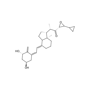 C=C1/C(=C\C=C2/CCC[C@@]3(C)C2CC[C@@H]3[C@H](C)C(=O)[C@@H]2OC2C2CC2)C[C@@H](O)C[C@@H]1O